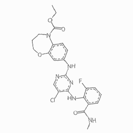 CCOC(=O)N1CCCOc2cc(Nc3ncc(Cl)c(Nc4c(F)cccc4C(=O)NC)n3)ccc21